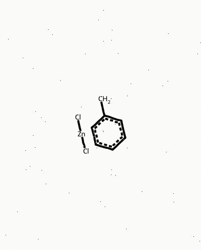 [CH2]c1ccccc1.[Cl][Zn][Cl]